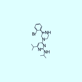 CC(C)Nc1nc(C(C)C)cc(N2CCN[C@H](c3ccccc3Br)C2)n1